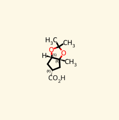 CC1(C)O[C@H]2C[C@@H](C(=O)O)C[C@@]2(C)O1